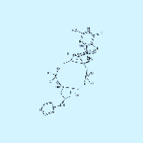 CC(C)(C)[Si](C)(C)OC1[C@H]2OP(=O)(S)OC[C@H]3C[C@@H](Nc4ccncn4)C[C@@H]3OP(=O)(O)OC[C@H]1O[C@H]2n1cnc2c(=O)[nH]c(N)nc21